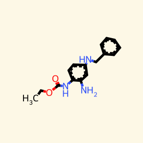 CCOC(=O)Nc1ccc(NCc2ccccc2)cc1N